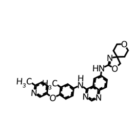 Cc1ccc(Oc2ccc(Nc3ncnc4ccc(NC5=NC6(CCOCC6)CO5)cc34)cc2C)cn1